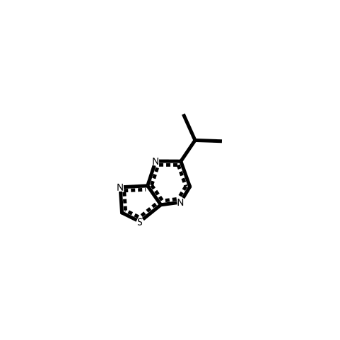 CC(C)c1cnc2scnc2n1